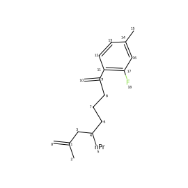 C=C(C)CC(CCC)CCCC(=C)c1ccc(C)cc1F